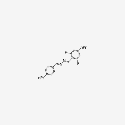 CCCc1ccc(C=NN=Cc2c(F)cc(CCC)cc2F)cc1